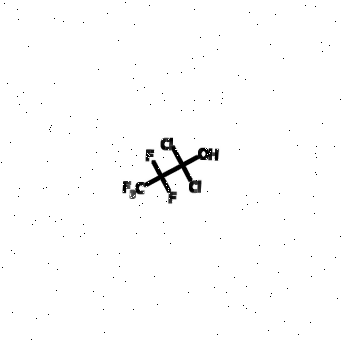 OC(Cl)(Cl)C(F)(F)C(F)(F)F